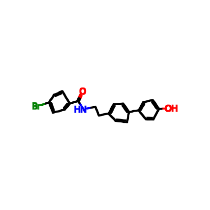 O=C(NCCc1ccc(-c2ccc(O)cc2)cc1)c1ccc(Br)cc1